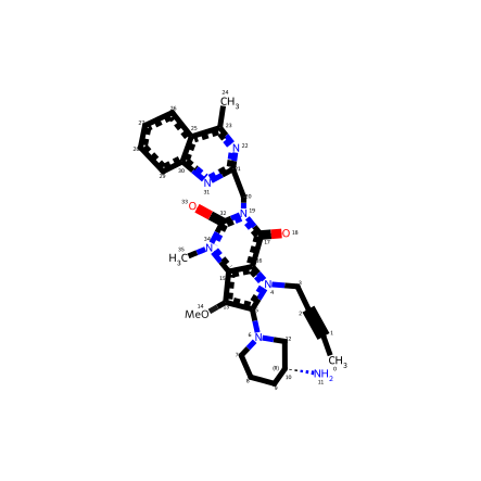 CC#CCn1c(N2CCC[C@@H](N)C2)c(OC)c2c1c(=O)n(Cc1nc(C)c3ccccc3n1)c(=O)n2C